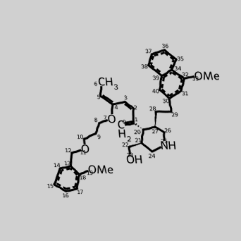 C=C(/C=C\C(=C/C)OCCCOCc1ccccc1OC)[C@H]1[C@H](CO)CNC[C@@H]1CCc1cc(OC)c2ccccc2c1